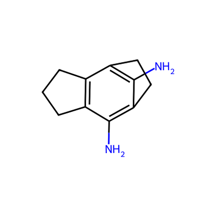 Nc1c2c(N)c(c3c1CCC3)CC2